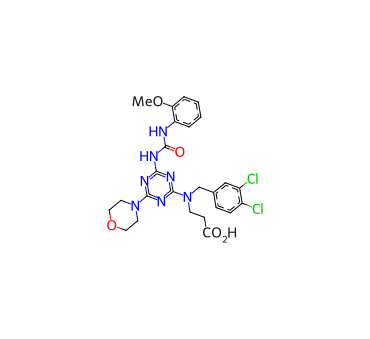 COc1ccccc1NC(=O)Nc1nc(N2CCOCC2)nc(N(CCC(=O)O)Cc2ccc(Cl)c(Cl)c2)n1